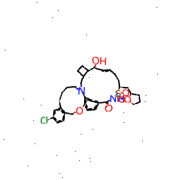 O=C1NS(=O)(=O)C(CC2CCCO2)CC/C=C/C(O)C2CCC2CN2CCCCc3cc(Cl)ccc3COc3ccc1cc32